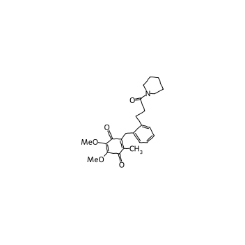 COC1=C(OC)C(=O)C(Cc2ccccc2CCC(=O)N2CCCCC2)=C(C)C1=O